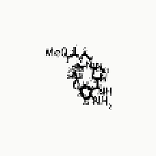 COCC(C)N1CCN(c2cc(C(=N)c3cc(OC4(C)CC4)ccc3N)ncn2)C[C@H]1C